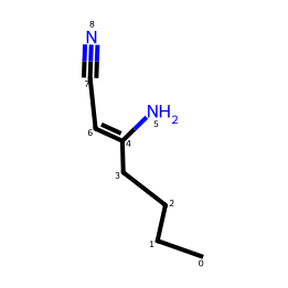 CCCCC(N)=CC#N